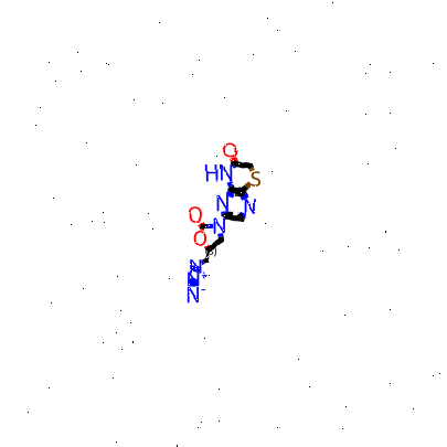 [N-]=[N+]=NC[C@@H]1CN(c2cnc3c(n2)NC(=O)CS3)C(=O)O1